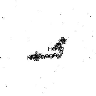 CCN(CCOCCOCCOCCOc1ccc2c(c1)C(=O)N(C1CCC(=O)NC1=O)C2=O)CCOc1ccc(Oc2c(-c3ccc(S(C)(=O)=O)cc3)ccc3cc(O)ccc23)cc1